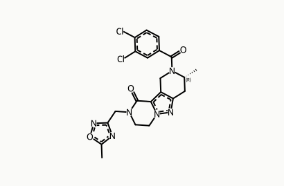 Cc1nc(CN2CCn3nc4c(c3C2=O)CN(C(=O)c2ccc(Cl)c(Cl)c2)[C@H](C)C4)no1